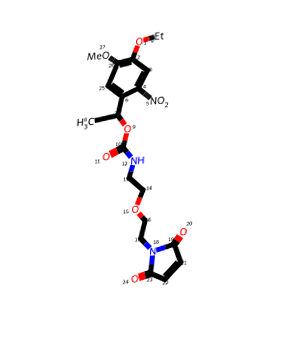 CCOc1cc([N+](=O)[O-])c(C(C)OC(=O)NCCOCCN2C(=O)C=CC2=O)cc1OC